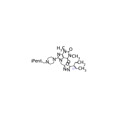 C=C/C(=C\C)c1nnc(Cn2c(N3CCN(CC(C)CCC)CC3)nc3c2c(=O)n(C)c(=O)n3C)o1